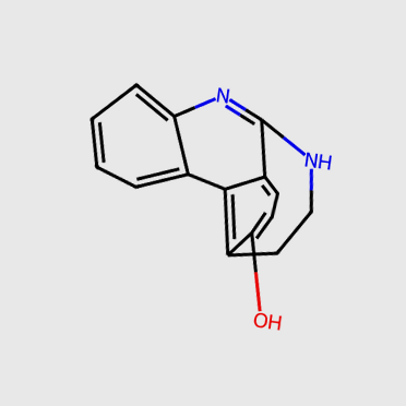 Oc1ccc2c3nc4ccccc4c2c1CCN3